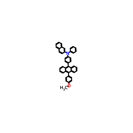 COc1ccc(-c2c3ccccc3c(-c3ccc(N(c4ccccc4)c4ccc5ccccc5c4)cc3)c3ccccc23)cc1